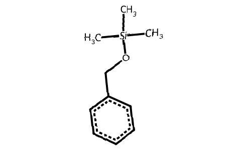 C[Si](C)(C)OCc1ccccc1